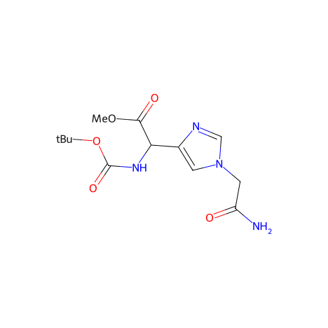 COC(=O)C(NC(=O)OC(C)(C)C)c1cn(CC(N)=O)cn1